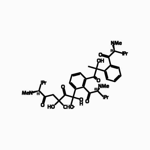 CN[C@H](C(=O)CC(O)([C]=O)C(=O)C(C)(O)c1cccc(C(=O)C(C)(O)c2ccccc2C(=O)[C@@H](NC)C(C)C)c1C(=O)[C@@H](NC)C(C)C)C(C)C